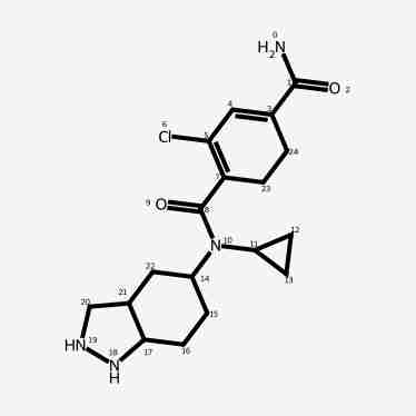 NC(=O)C1=CC(Cl)=C(C(=O)N(C2CC2)C2CCC3NNCC3C2)CC1